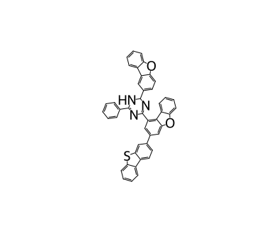 c1ccc(C2=NC(c3cc(-c4ccc5c(c4)sc4ccccc45)cc4oc5ccccc5c34)=NC(c3ccc4oc5ccccc5c4c3)N2)cc1